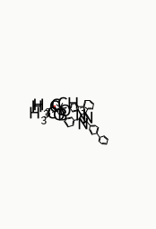 CC1(C)OB(c2cccc(-c3nc(-c4ccc(-c5ccccc5)cc4)nc(-c4ccccc4-c4ccccc4)n3)c2)OC1(C)C